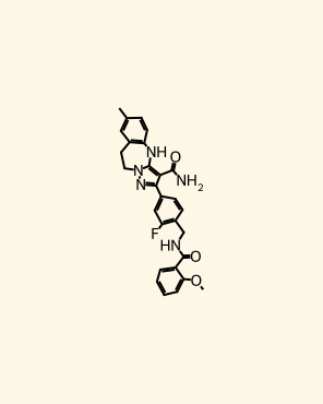 COc1ccccc1C(=O)NCc1ccc(-c2nn3c(c2C(N)=O)Nc2ccc(C)cc2CC3)cc1F